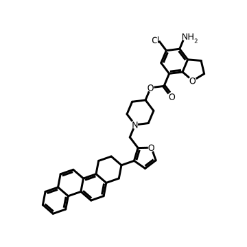 Nc1c(Cl)cc(C(=O)OC2CCN(Cc3occc3C3CCc4c(ccc5c4ccc4ccccc45)C3)CC2)c2c1CCO2